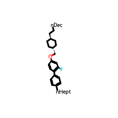 CCCCCCCCCCCC[C@H]1CC[C@H](COc2ccc(-c3ccc(CCCCCCC)cc3)c(F)c2)CC1